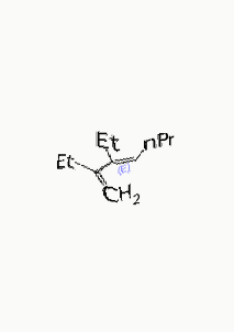 C=C(CC)/C(=C/CCC)CC